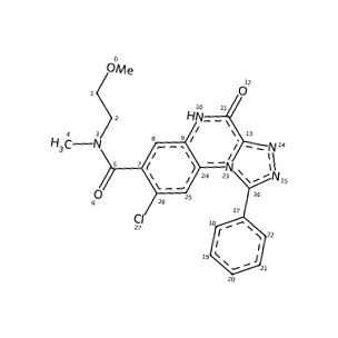 COCCN(C)C(=O)c1cc2[nH]c(=O)c3nnc(-c4ccccc4)n3c2cc1Cl